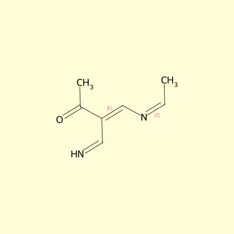 C/C=N\C=C(/C=N)C(C)=O